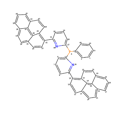 c1ccc(P(c2cccc(-c3ccc4ccc5cccc6ccc3c4c56)n2)c2cccc(-c3ccc4ccc5cccc6ccc3c4c56)n2)cc1